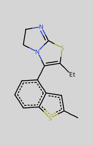 CCC1=C(c2cccc3sc(C)cc23)N2CCN=C2S1